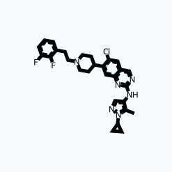 Cc1c(Nc2ncc3cc(Cl)c(C4CCN(CCc5cccc(F)c5F)CC4)cc3n2)cnn1C1CC1